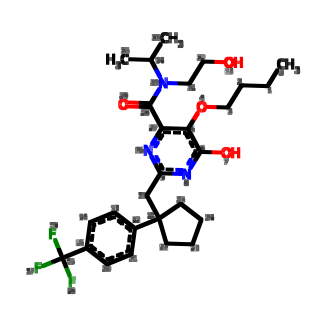 CCCCOc1c(O)nc(CC2(c3ccc(C(F)(F)F)cc3)CCCC2)nc1C(=O)N(CCO)C(C)C